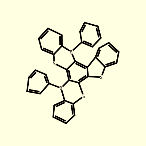 c1ccc(B2c3ccccc3Sc3c2c2c(c4c3sc3ccccc34)B(c3ccccc3)c3ccccc3S2)cc1